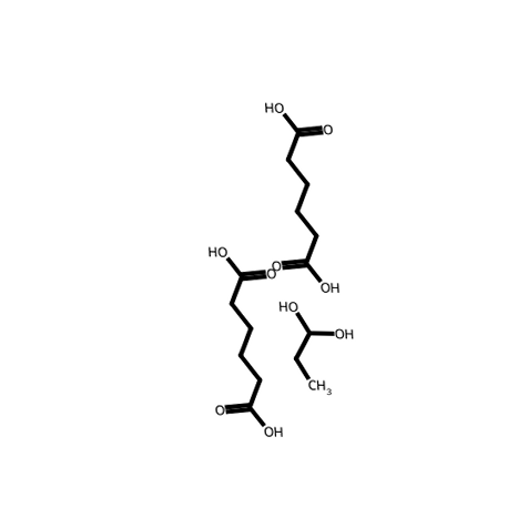 CCC(O)O.O=C(O)CCCCC(=O)O.O=C(O)CCCCC(=O)O